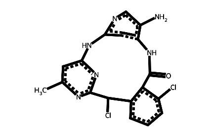 Cc1cc2nc(n1)C(Cl)c1cccc(Cl)c1C(=O)Nc1cc(ncc1N)N2